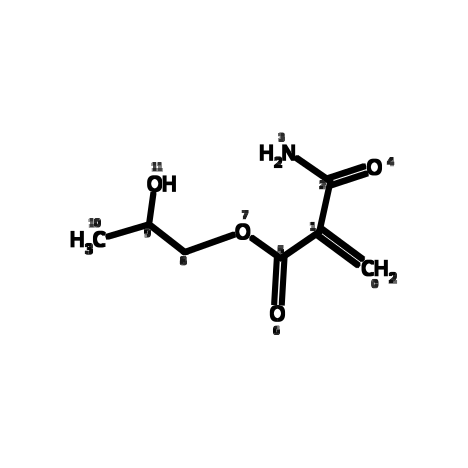 C=C(C(N)=O)C(=O)OCC(C)O